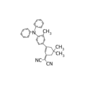 Cc1cc(C2=CC(=C(C#N)C#N)CC(C)(C)C2)ccc1N(c1ccccc1)c1ccccc1